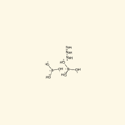 OB(O)O.OB(O)O.[NaH].[NaH].[NaH]